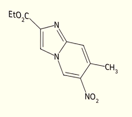 CCOC(=O)c1cn2cc([N+](=O)[O-])c(C)cc2n1